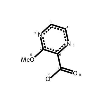 COc1nccnc1C(=O)Cl